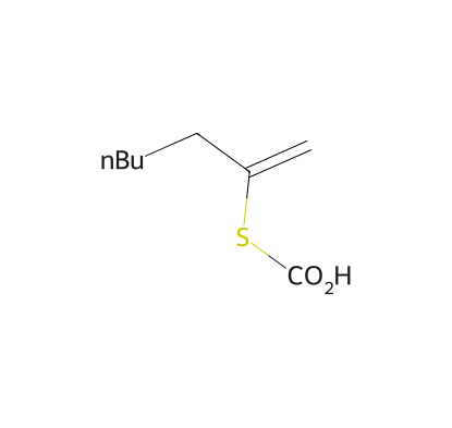 C=C(CCCCC)SC(=O)O